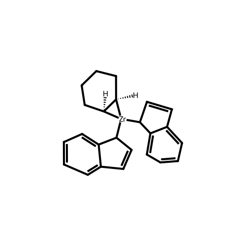 C1=C[CH]([Zr]2([CH]3C=Cc4ccccc43)[C@@H]3CCCC[C@@H]32)c2ccccc21